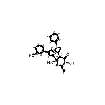 CN1C(=N)N[C@](C)(c2cc(-c3cccc(C#N)c3)cs2)[C@@H](C2CN(c3ccccc3)C2)C1=O